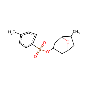 Cc1ccc(S(=O)(=O)OC2CC3CC(C)C(C2)O3)cc1